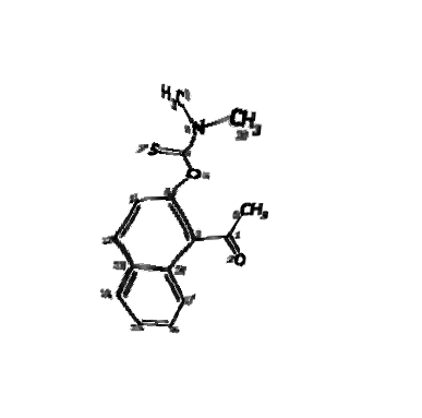 CC(=O)c1c(OC(=S)N(C)C)ccc2ccccc12